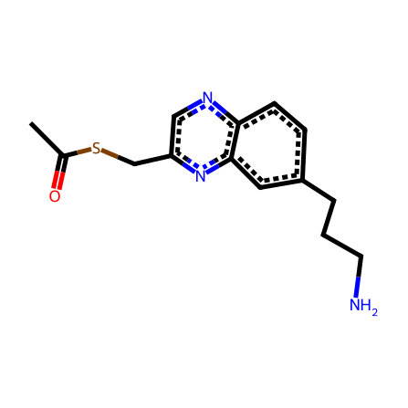 CC(=O)SCc1cnc2ccc(CCCN)cc2n1